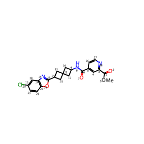 COC(=O)c1cc(C(=O)NC2CC3(C2)CC(c2nc4cc(Cl)ccc4o2)C3)ccn1